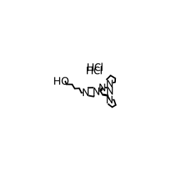 Cl.Cl.OCCCCCN1CCN(c2cc(N3CCCC3)nc(N3CCCC3)n2)CC1